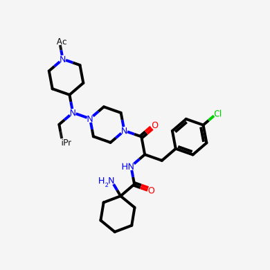 CC(=O)N1CCC(N(CC(C)C)N2CCN(C(=O)C(Cc3ccc(Cl)cc3)NC(=O)C3(N)CCCCC3)CC2)CC1